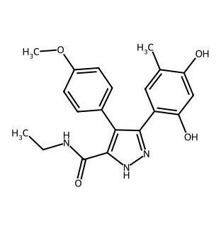 CCNC(=O)c1[nH]nc(-c2cc(C)c(O)cc2O)c1-c1ccc(OC)cc1